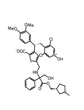 COc1ccc([C@H](Cc2c(Cl)c[n+](O)cc2Cl)c2cc(CNC(CO)(C(=O)OC[C@H]3CCN(C)C3)c3ccccc3)sc2C(=O)[O-])cc1OC